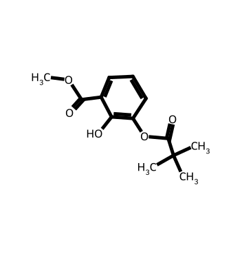 COC(=O)c1cccc(OC(=O)C(C)(C)C)c1O